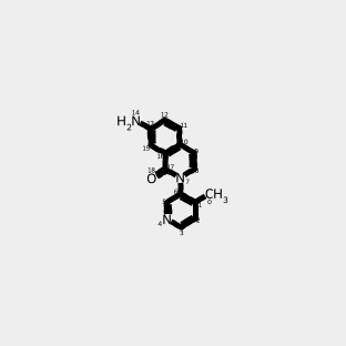 Cc1ccncc1-n1ccc2ccc(N)cc2c1=O